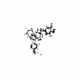 Nc1ccc(C2=NC3(CCCCC3)N(CC(=O)Nc3cc(F)c(F)c(F)c3)C2=O)cc1